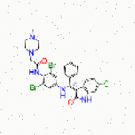 CN1CCN(CC(=O)Nc2c(Br)cc(N/C(=C3\C(=O)Nc4cc(Cl)ccc43)c3ccccc3)cc2Br)CC1